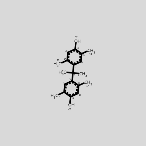 Cc1cc(C(C)(C)c2cc(C)c(O)cc2C)c(C)cc1O